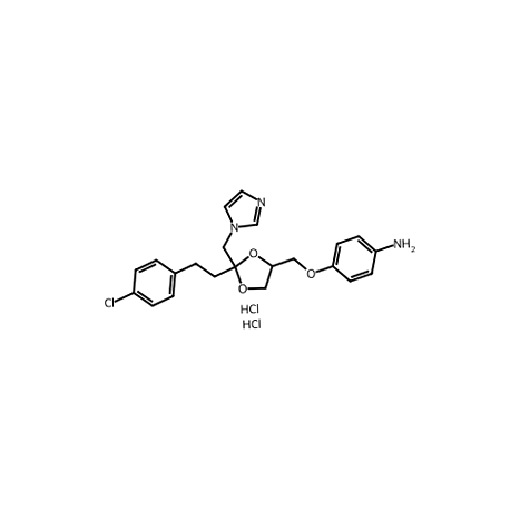 Cl.Cl.Nc1ccc(OCC2COC(CCc3ccc(Cl)cc3)(Cn3ccnc3)O2)cc1